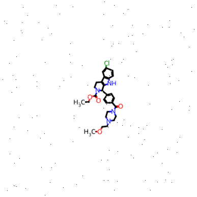 CCOC(=O)N1CCc2c([nH]c3ccc(Cl)cc23)C1c1ccc(C(=O)N2CCN(CCOC)CC2)cc1